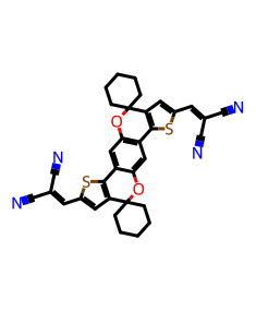 N#CC(C#N)=Cc1cc2c(s1)-c1cc3c(cc1OC21CCCCC1)-c1sc(C=C(C#N)C#N)cc1C1(CCCCC1)O3